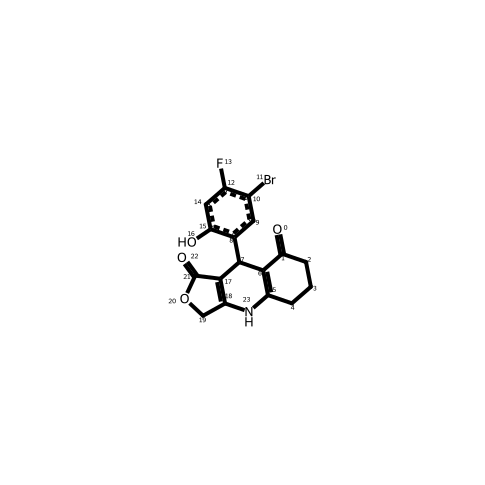 O=C1CCCC2=C1C(c1cc(Br)c(F)cc1O)C1=C(COC1=O)N2